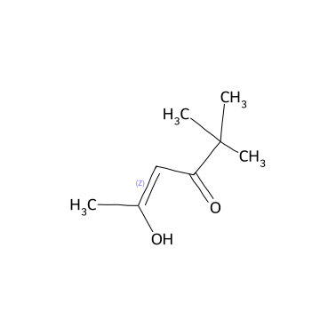 C/C(O)=C/C(=O)C(C)(C)C